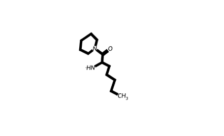 CCCCCC([NH])C(=O)N1CCCCC1